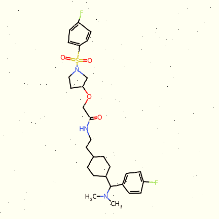 CN(C)C(c1ccc(F)cc1)C1CCC(CCNC(=O)COC2CCN(S(=O)(=O)c3ccc(F)cc3)C2)CC1